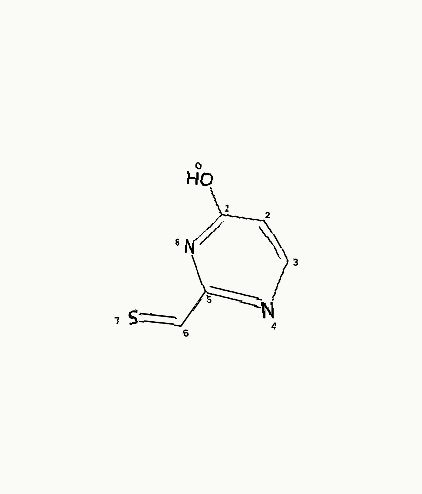 Oc1ccnc(C=S)n1